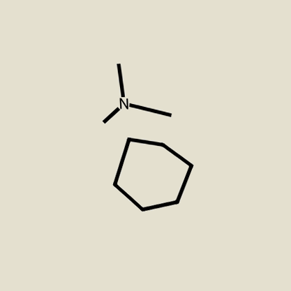 C1CCCCC1.CN(C)C